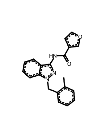 Cc1ccccc1Cn1nc(NC(=O)c2ccoc2)c2ccccc21